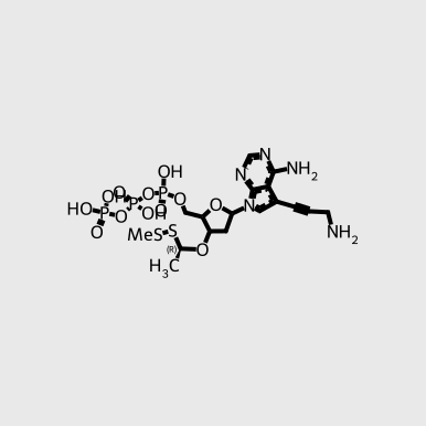 CSS[C@H](C)OC1CC(n2cc(C#CCN)c3c(N)ncnc32)OC1COP(=O)(O)OP(=O)(O)OP(=O)(O)O